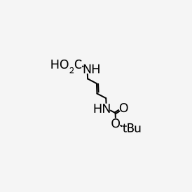 CC(C)(C)OC(=O)NC/C=C/CNC(=O)O